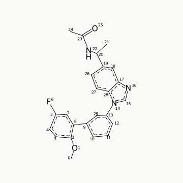 COc1ccc(F)cc1-c1cccc(-n2cnc3cc(C(C)NC(C)=O)ccc32)c1